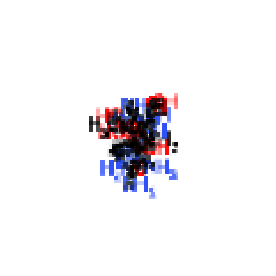 C[C@@H](O)[C@H](NC(=O)[C@H](CCN)NC(=O)[C@H](CCNCS(=O)(=O)O)NC(=O)[C@@H](NC(=O)[C@@H](Cc1ccccc1)NC(=O)[C@H](CCN)NC(=O)[C@@H](N)CCN)[C@@H](C)O)C(=O)O